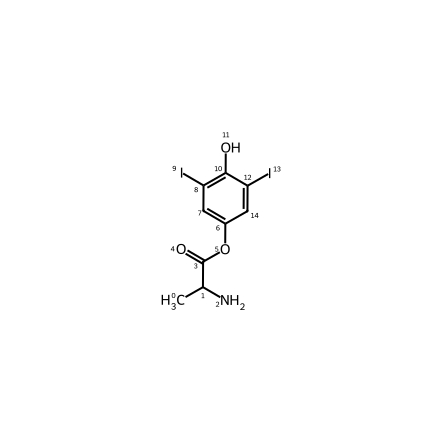 CC(N)C(=O)Oc1cc(I)c(O)c(I)c1